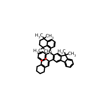 CC1(C)CCC(C)(C)c2c(N(c3ccccc3)c3cc4c(cc3-c3ccc5c(c3)CCCC5)-c3ccccc3C4(C)C)cccc21